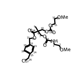 COCCNC(=O)OCC(C)(COC(=O)OCCOC)C(=O)OCc1ccc(CCl)cc1